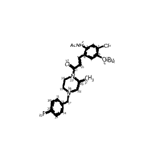 CC(=O)Nc1cc(Cl)c(OCC(C)C)cc1C=CC(=O)N1CCN(Cc2ccc(F)cc2)CC1C